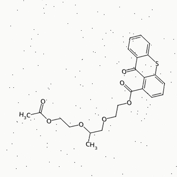 CC(=O)OCCOC(C)COCCOC(=O)c1cccc2sc3ccccc3c(=O)c12